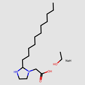 CCCCCCCCCCCC1NCCN1CC(=O)O.CCO.[NaH]